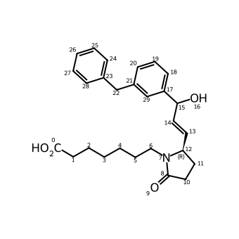 O=C(O)CCCCCCN1C(=O)CC[C@@H]1C=CC(O)c1cccc(Cc2ccccc2)c1